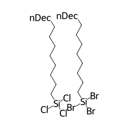 CCCCCCCCCCCCCCCCCC[Si](Br)(Br)Br.CCCCCCCCCCCCCCCCCC[Si](Cl)(Cl)Cl